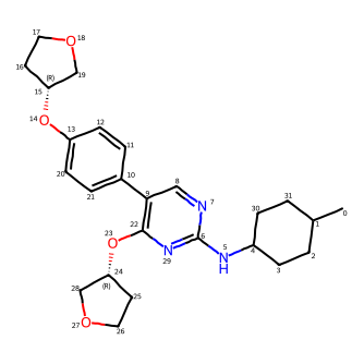 CC1CCC(Nc2ncc(-c3ccc(O[C@@H]4CCOC4)cc3)c(O[C@@H]3CCOC3)n2)CC1